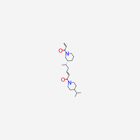 C=CC(=O)N1CCC[C@H](C(C)C/C=C/C(=O)N2CCC(C(C)C)CC2)C1